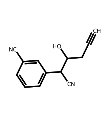 C#CCC(O)C(C#N)c1cccc(C#N)c1